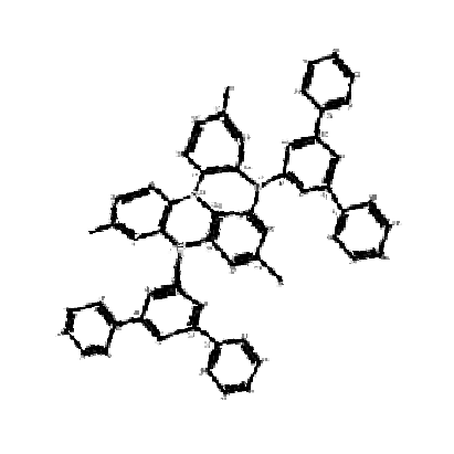 Cc1ccc2c(c1)B(c1cc(-c3ccccc3)cc(-c3ccccc3)c1)c1cc(C)cc3c1N2c1ccc(C)cc1B3c1cc(-c2ccccc2)cc(-c2ccccc2)c1